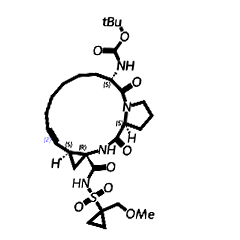 COCC1(S(=O)(=O)NC(=O)[C@@]23C[C@H]2/C=C\CCCCC[C@H](NC(=O)OC(C)(C)C)C(=O)N2CCC[C@H]2C(=O)N3)CC1